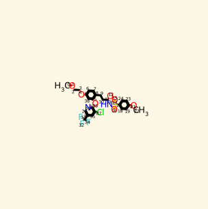 COCCOc1ccc(CCC(=O)NS(=O)(=O)c2ccc(OC)cc2)c(Oc2ncc(C(F)(F)F)cc2Cl)c1